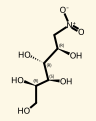 O=[N+]([O-])C[C@@H](O)[C@@H](O)[C@@H](O)[C@H](O)CO